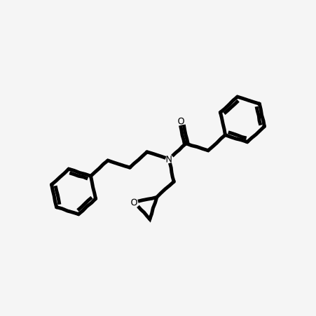 O=C(Cc1ccccc1)N(CCCc1ccccc1)CC1CO1